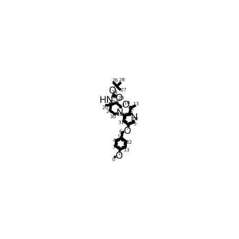 COc1ccc(COc2cnc(C(C)=O)c(N3CCC(C)(NC(=O)OC(C)(C)C)CC3)c2)cc1